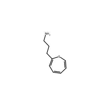 NCCCC1=CC=CC=CS1